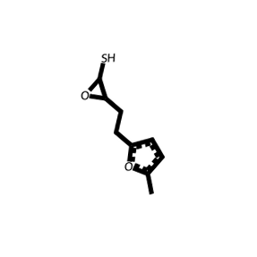 Cc1ccc(CCC2OC2S)o1